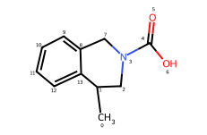 CC1CN(C(=O)O)Cc2ccccc21